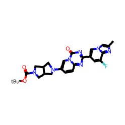 Cc1cn2cc(-c3nc(=O)n4cc(N5CC6CN(C(=O)OC(C)(C)C)CC6C5)ccc4n3)cc(F)c2n1